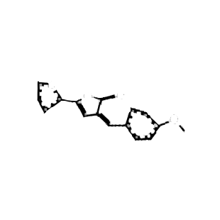 COc1ccc(C=C2C=C(c3cccs3)OC2=O)cc1